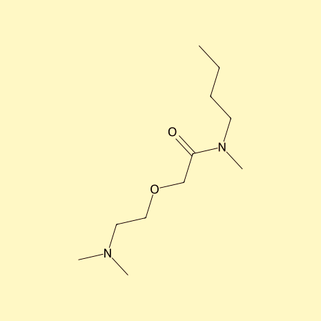 CCCCN(C)C(=O)COCCN(C)C